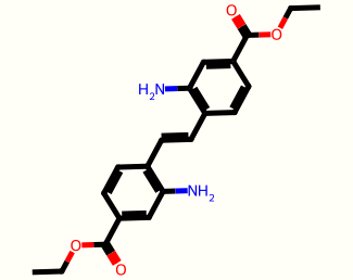 CCOC(=O)c1ccc(/C=C/c2ccc(C(=O)OCC)cc2N)c(N)c1